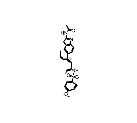 CC=C(/C=C(\C=C/C)c1ccc2c(c1)CC(NC(C)=O)=N2)NS(=O)(=O)c1ccc(OC)cc1